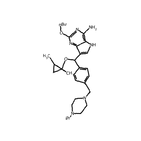 CCCCOc1nc(N)c2[nH]cc(C(OC3(C)CC3C)c3ccc(CN4CCN(C(C)C)CC4)cc3)c2n1